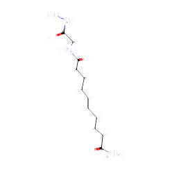 CC(C)NC(=O)CNC(=O)CCCCCCCCC(=O)C(C)(C)C